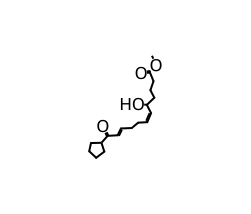 COC(=O)CCCC(O)/C=C\CC/C=C/C(=O)C1CCCC1